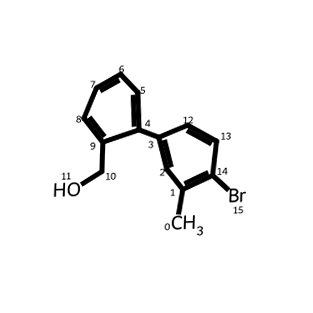 Cc1cc(-c2ccccc2CO)ccc1Br